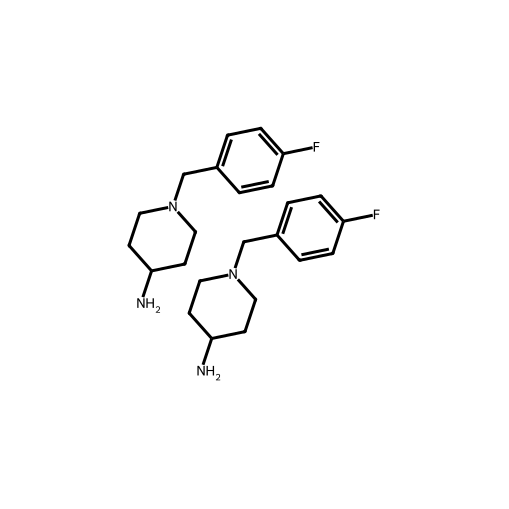 NC1CCN(Cc2ccc(F)cc2)CC1.NC1CCN(Cc2ccc(F)cc2)CC1